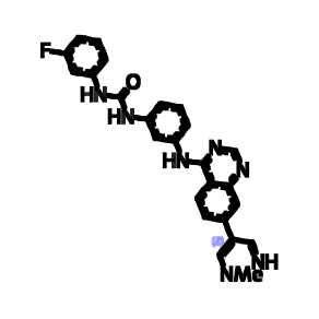 CN/C=C(\C=N)c1ccc2c(Nc3cccc(NC(=O)Nc4cccc(F)c4)c3)ncnc2c1